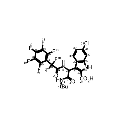 CC(C)(C)NC(=O)C(NC(=O)C(F)(F)c1c(F)c(F)c(F)c(F)c1F)c1c(C(=O)O)[nH]c2cc(Cl)ccc12